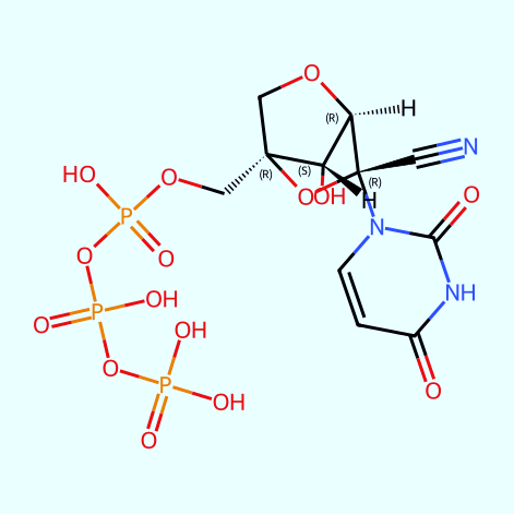 N#C[C@@]1(n2ccc(=O)[nH]c2=O)O[C@@]2(COP(=O)(O)OP(=O)(O)OP(=O)(O)O)CO[C@@H]1[C@@H]2O